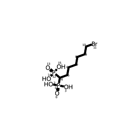 O=P(O)(O)C(CCCCCCBr)P(=O)(O)O